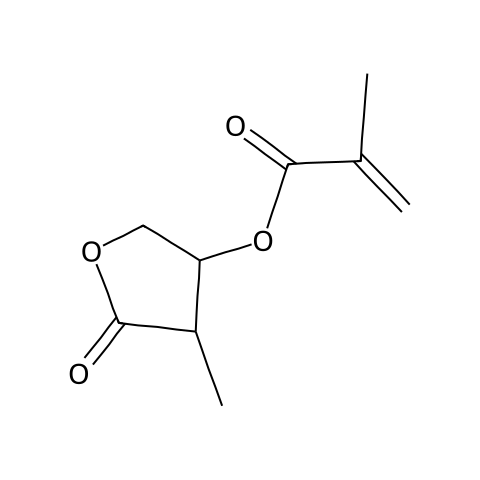 C=C(C)C(=O)OC1COC(=O)C1C